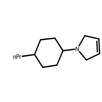 CCCC1CCC(N2CC=CC2)CC1